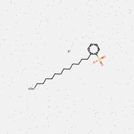 CCCCCCCCCCCCCCCCCCCCCCc1ccccc1S(=O)(=O)[O-].[K+]